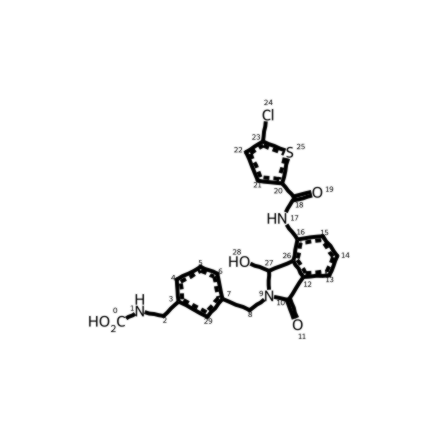 O=C(O)NCc1cccc(CN2C(=O)c3cccc(NC(=O)c4ccc(Cl)s4)c3C2O)c1